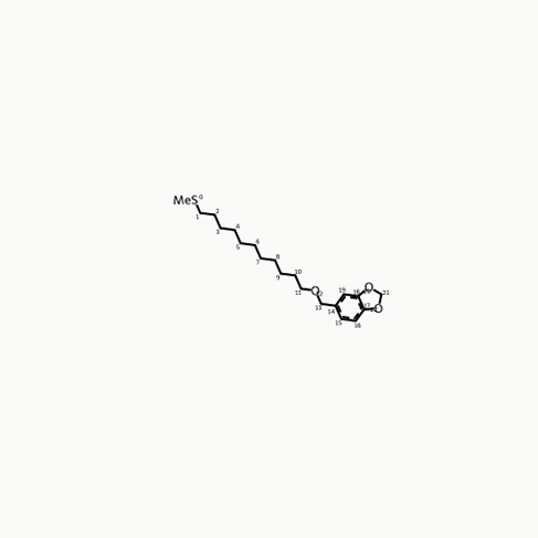 CSCCCCCCCCCCCOCc1ccc2c(c1)OCO2